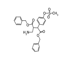 CS(=O)(=O)Oc1ccc(C(C(=O)OCc2ccccc2)C(CN)C(=O)OCc2ccccc2)cc1